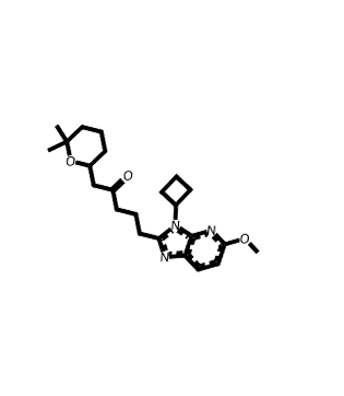 COc1ccc2nc(CCCC(=O)CC3CCCC(C)(C)O3)n(C3CCC3)c2n1